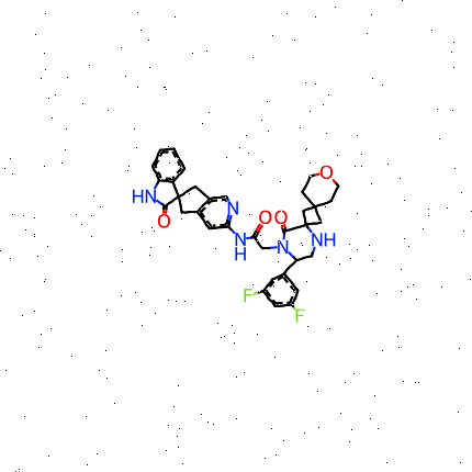 O=C(CN1C(=O)C2(CC3(CCOCC3)C2)NCC1c1cc(F)cc(F)c1)Nc1cc2c(cn1)CC1(C2)C(=O)Nc2ccccc21